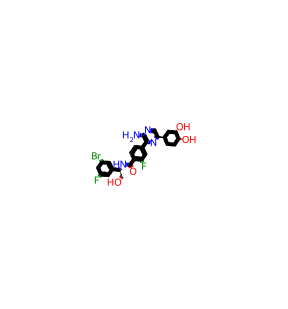 Nc1ncc([C@@H]2CC[C@@H](O)[C@H](O)C2)nc1-c1ccc(C(=O)N[C@H](CO)C2=CC(Br)CC(F)=C2)c(F)c1